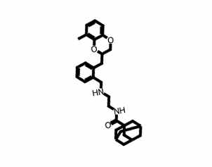 Cc1cccc2c1OC(Cc1ccccc1CNCCNC(=O)C13CC4CC(CC(C4)C1)C3)CO2